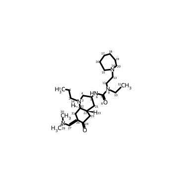 CCCN1C[C@@H](NC(=O)N(CC)CCN2CCCCCC2)C[C@@H]2CC(=O)C(=CN(C)C)C[C@H]21